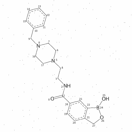 O=C(NCCN1CCN(Cc2ccccc2)CC1)c1ccc2c(c1)B(O)OC2